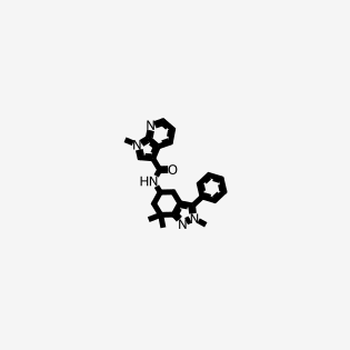 Cn1nc2c(c1-c1ccccc1)CC(NC(=O)c1cn(C)c3ncccc13)CC2(C)C